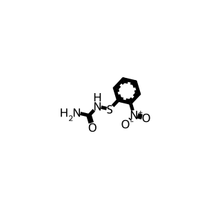 NC(=O)NSc1ccccc1[N+](=O)[O-]